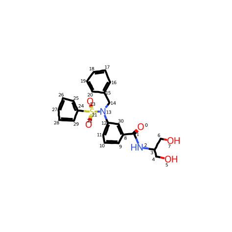 O=C(NC(CO)CO)c1cccc(N(Cc2ccccc2)S(=O)(=O)c2ccccc2)c1